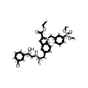 CCOC(=O)c1cc2cc(C[C@@H](C)NC[C@@H](O)c3cccc(Cl)c3)ccc2n1Cc1cccc(P(=O)(OC)OC)c1